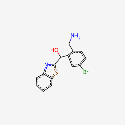 NCc1ccc(Br)cc1C(O)c1nc2ccccc2s1